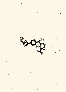 N#CCc1ncc(-c2ccc([C@H](O)[C@@H](CF)NC(=O)C(F)F)cc2)s1